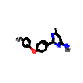 Cc1cc(NC(C)C)nc(C2=CCC(Oc3ccc(C(F)(F)F)cc3)CC2)n1